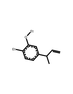 C=C[C](C)c1ccc(CC)c(OCC)c1